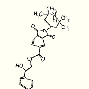 CC1(C)CC(N2C(=O)c3ccc(C(=O)OCC(O)c4ccccc4)cc3C2=O)CC(C)(C)N1